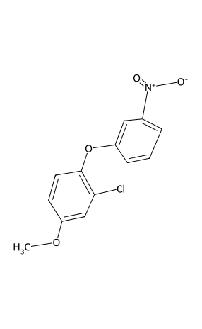 COc1ccc(Oc2cccc([N+](=O)[O-])c2)c(Cl)c1